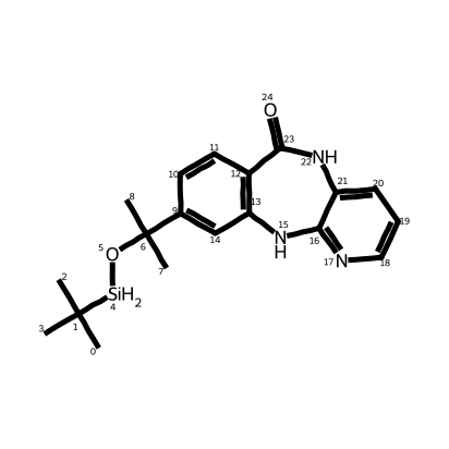 CC(C)(C)[SiH2]OC(C)(C)c1ccc2c(c1)Nc1ncccc1NC2=O